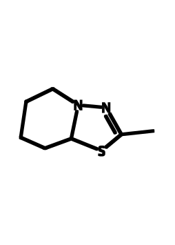 CC1=NN2CCCCC2S1